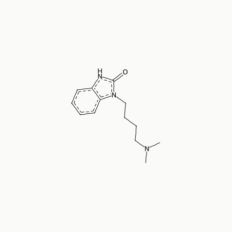 CN(C)CCCCn1c(=O)[nH]c2ccccc21